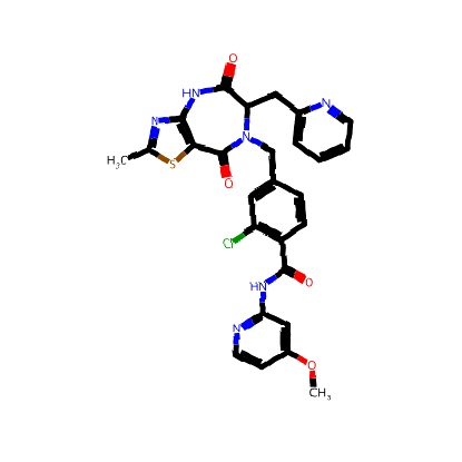 COc1ccnc(NC(=O)c2ccc(CN3C(=O)c4sc(C)nc4NC(=O)C3Cc3ccccn3)cc2Cl)c1